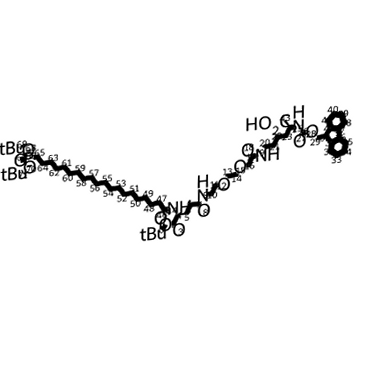 CC(C)(C)OC(=O)[C@H](CCC(=O)NCCOCCOCC(=O)NCCCC[C@H](NC(=O)OCC1c2ccccc2-c2ccccc21)C(=O)O)NC(=O)CCCCCCCCCCCCCCCCCCCP(=O)(OC(C)(C)C)OC(C)(C)C